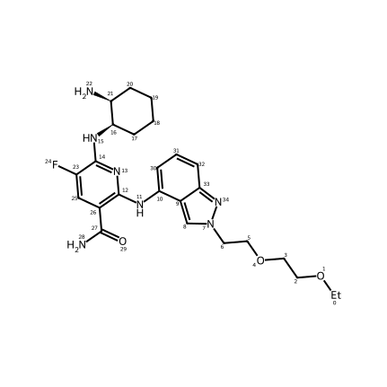 CCOCCOCCn1cc2c(Nc3nc(N[C@@H]4CCCC[C@@H]4N)c(F)cc3C(N)=O)cccc2n1